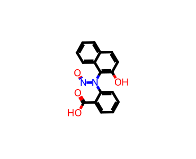 O=NN(c1ccccc1C(=O)O)c1c(O)ccc2ccccc12